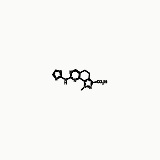 CCOC(=O)c1nn(C)c2c1CCc1cnc(Nc3nccs3)nc1-2